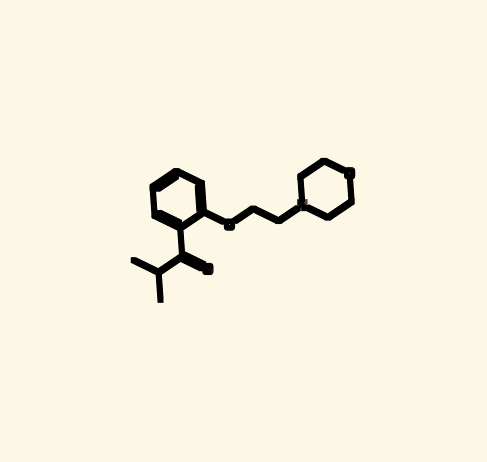 CC(C)C(=O)c1ccccc1OCCN1CCOCC1